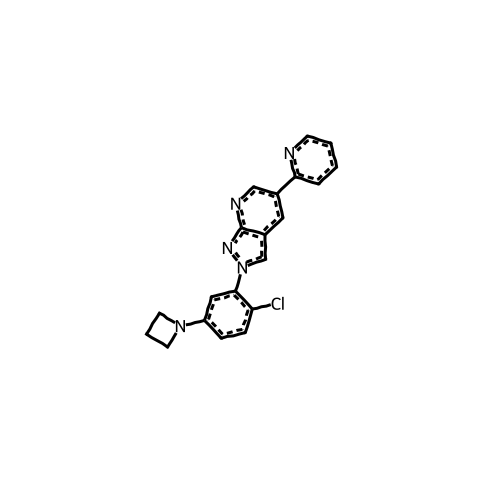 Clc1ccc(N2CCC2)cc1-n1cc2cc(-c3ccccn3)cnc2n1